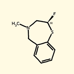 CN1Cc2ccccc2S[C@H](F)C1